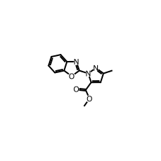 COC(=O)c1cc(C)nn1-c1nc2ccccc2o1